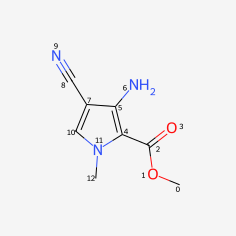 COC(=O)c1c(N)c(C#N)cn1C